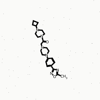 Cc1nc(-c2ccc(N3CCN(CC(=O)N4CCN(C5CCC5)CC4)CC3)cc2)no1